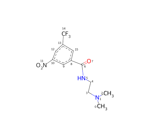 CN(C)CCNC(=O)c1cc([N+](=O)[O-])cc(C(F)(F)F)c1